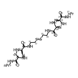 CCCNC(=O)C1=NNC(C(=O)NCCSSCCNC(=O)C2=NNC(C(=O)NCCC)=NN2)=NN1